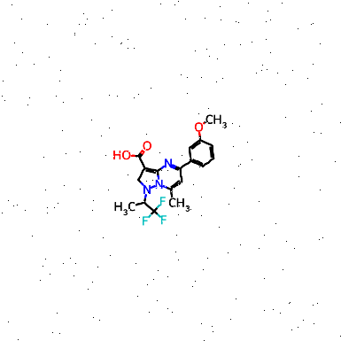 COc1cccc(C2=NC3=C(C(=O)O)CN(C(C)C(F)(F)F)N3C(C)=C2)c1